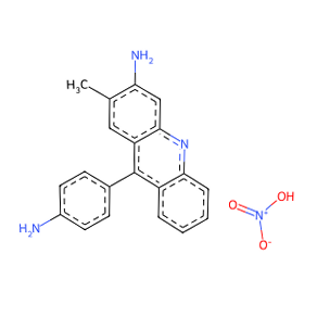 Cc1cc2c(-c3ccc(N)cc3)c3ccccc3nc2cc1N.O=[N+]([O-])O